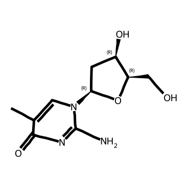 Cc1cn([C@H]2C[C@@H](O)[C@@H](CO)O2)c(N)nc1=O